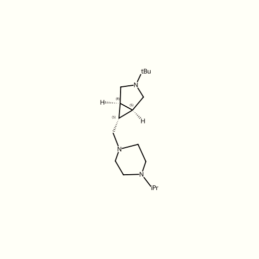 CC(C)N1CCN(C[C@@H]2[C@H]3CN(C(C)(C)C)C[C@@H]23)CC1